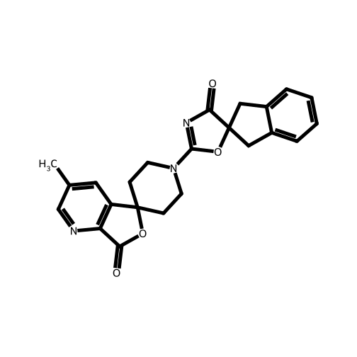 Cc1cnc2c(c1)C1(CCN(C3=NC(=O)C4(Cc5ccccc5C4)O3)CC1)OC2=O